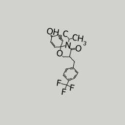 CC(C)N1C(=O)C(Cc2ccc(C(F)(F)F)cc2)COC12C=CC(=O)C=C2